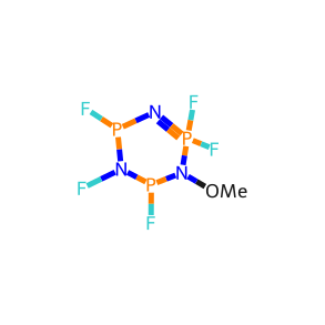 CON1P(F)N(F)P(F)N=P1(F)F